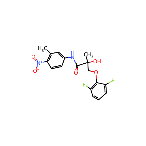 Cc1cc(NC(=O)C(C)(O)COc2c(F)cccc2F)ccc1[N+](=O)[O-]